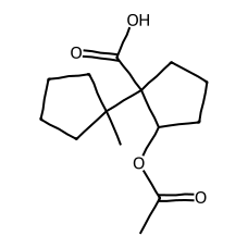 CC(=O)OC1CCCC1(C(=O)O)C1(C)CCCC1